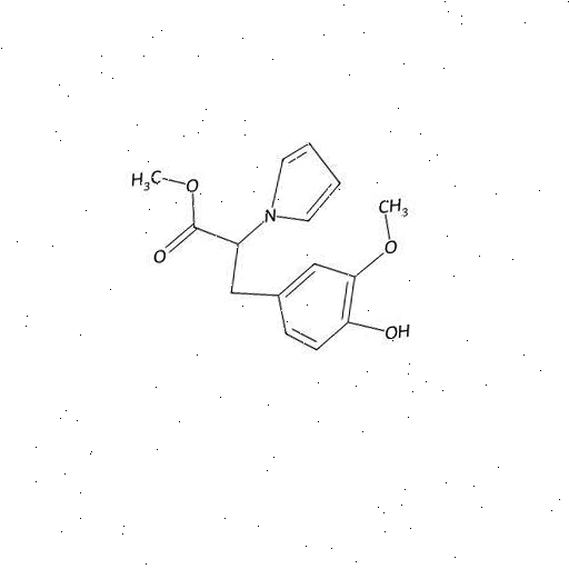 COC(=O)C(Cc1ccc(O)c(OC)c1)n1cccc1